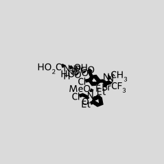 CC(C)OC(=O)c1cc(-c2nn(C)c(C(F)(F)F)c2Br)c(F)cc1Cl.CCc1cccc(CC)c1N(COC)C(=O)CCl.O=C(O)CNCP(=O)(O)O